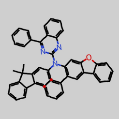 CC1(C)c2ccccc2-c2ccc(N(c3nc(-c4ccccc4)c4ccccc4n3)c3cc4oc5ccccc5c4cc3-c3ccccc3)cc21